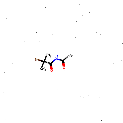 CCCC(=O)NC(=O)C(C)(C)Br